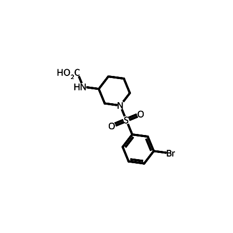 O=C(O)NC1CCCN(S(=O)(=O)c2cccc(Br)c2)C1